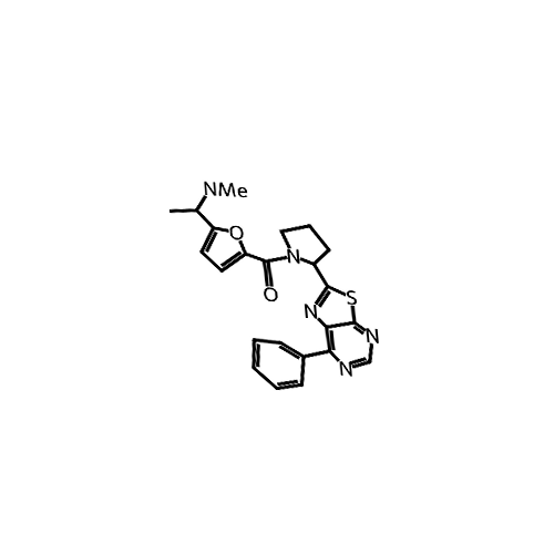 CNC(C)c1ccc(C(=O)N2CCCC2c2nc3c(-c4ccccc4)ncnc3s2)o1